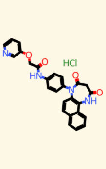 Cl.O=C(COc1cccnc1)Nc1ccc(N2C(=O)CC(=O)Nc3c2ccc2ccccc32)cc1